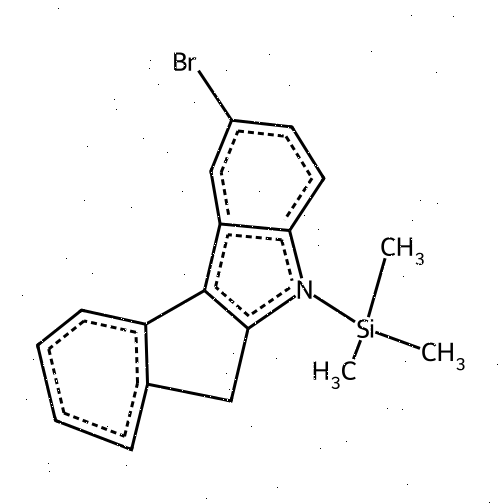 C[Si](C)(C)n1c2c(c3cc(Br)ccc31)-c1ccccc1C2